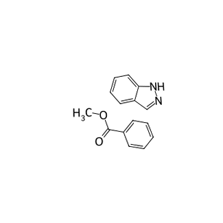 COC(=O)c1ccccc1.c1ccc2[nH]ncc2c1